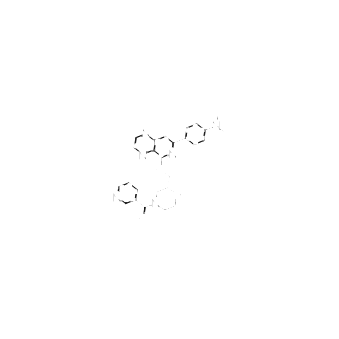 CN(C)c1ccc(-c2cc3nccnc3c(OC[C@@H]3CN(C(=O)c4cccnc4)CCO3)n2)cc1